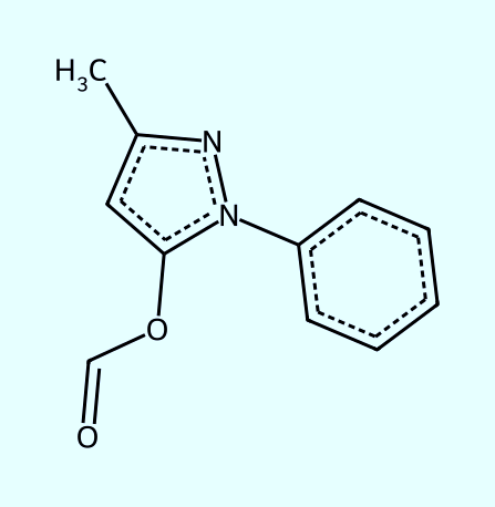 Cc1cc(OC=O)n(-c2ccccc2)n1